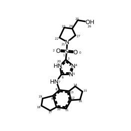 O=S(=O)(c1nnc(Nc2c3c(cc4c2CCC4)CCC3)[nH]1)N1CCC(CO)C1